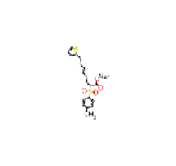 Cc1ccc(S(=O)(=O)C(CCCCCCc2cccs2)C(=O)[O-])cc1.[Na+]